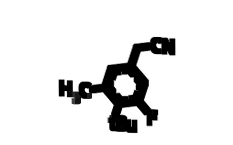 Cc1cc(CC#N)cc(F)c1C(C)(C)C